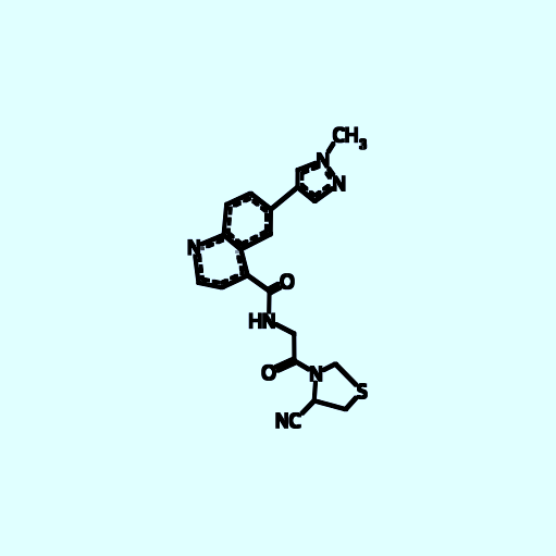 Cn1cc(-c2ccc3nccc(C(=O)NCC(=O)N4CSCC4C#N)c3c2)cn1